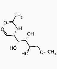 COC[C@@H](O)[C@@H](O)[C@H](O)[C@H](C=O)NC(C)=O